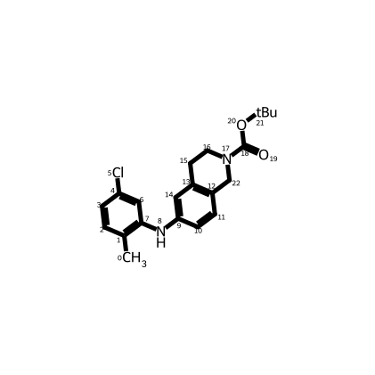 Cc1ccc(Cl)cc1Nc1ccc2c(c1)CCN(C(=O)OC(C)(C)C)C2